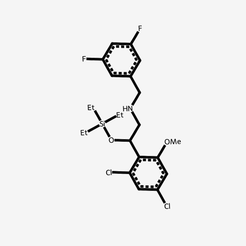 CC[Si](CC)(CC)OC(CNCc1cc(F)cc(F)c1)c1c(Cl)cc(Cl)cc1OC